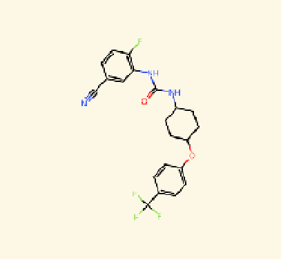 N#Cc1ccc(F)c(NC(=O)NC2CCC(Oc3ccc(C(F)(F)F)cc3)CC2)c1